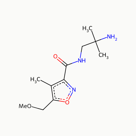 COCc1onc(C(=O)NCC(C)(C)N)c1C